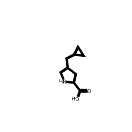 O=C(O)C1CC(CC2CC2)CN1